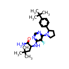 CC(C)(C)CC(Nc1ncnc(N2CCCC2c2ccc(C(C)(C)C)cc2)c1F)C(N)=O